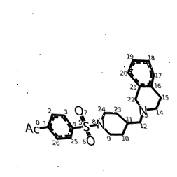 CC(=O)c1ccc(S(=O)(=O)N2CCC(CN3CCc4ccccc4C3)CC2)cc1